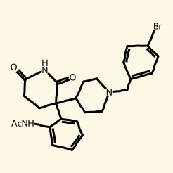 CC(=O)Nc1ccccc1C1(C2CCN(Cc3ccc(Br)cc3)CC2)CCC(=O)NC1=O